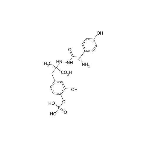 CC(Cc1ccc(OP(=O)(O)O)c(O)c1)(NNC(=O)[C@@H](N)c1ccc(O)cc1)C(=O)O